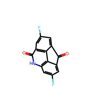 O=c1[nH]c2cc(F)cc3c(=O)c4cc(F)cc1c4c23